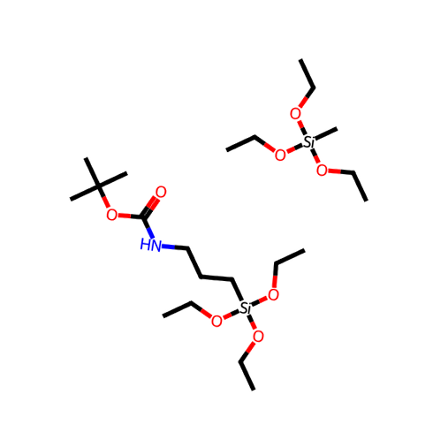 CCO[Si](C)(OCC)OCC.CCO[Si](CCCNC(=O)OC(C)(C)C)(OCC)OCC